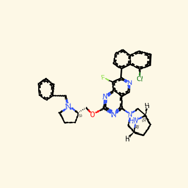 Fc1c(-c2cccc3cccc(Cl)c23)ncc2c(N3C[C@H]4CC[C@@H](C3)N4)nc(OC[C@@H]3CCCN3Cc3ccccc3)nc12